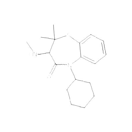 CNC1C(=O)N(C2CCCCC2)c2ccccc2SC1(C)C